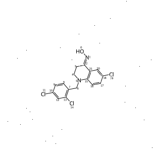 ON=C1CCN(Cc2ccc(Cl)cc2Cl)c2ccc(Cl)cc21